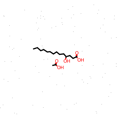 CC(=O)O.CCCCCCCCCCC(O)CCC(=O)O